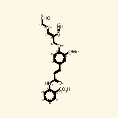 COc1cc(/C=C/C(=O)Nc2ccccc2C(=O)O)ccc1OC/C(=C/NCC=O)N=N